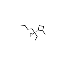 CCCCC(F)(CC)[C@@H]1CCC1C